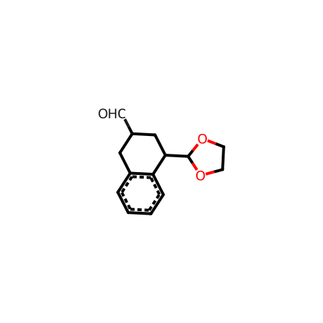 O=CC1Cc2ccccc2C(C2OCCO2)C1